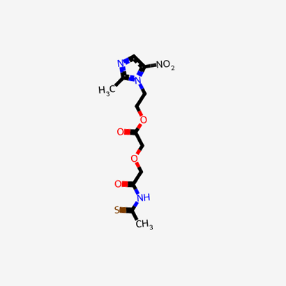 CC(=S)NC(=O)COCC(=O)OCCn1c([N+](=O)[O-])cnc1C